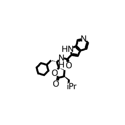 CC(C)C[C@@H]1C[C@@H]([C@H](CC2CCCCC2)NC(=O)c2cc3ccncc3[nH]2)OC1=O